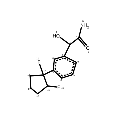 NC(=O)C(O)c1cccc(C2(F)CCCC2F)c1